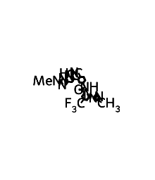 CNc1ncc2c(n1)N1CCN=C1C(c1cc(NC(=O)c3cc(C(F)(F)F)cc(-n4cnc(C)c4)n3)ccc1C)=C2